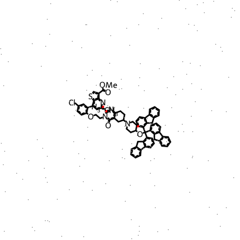 COC(=O)c1csc2c(-c3cc(Cl)ccc3OCCn3c(C)nc4c(c3=O)CC(N3CCC(OC(c5cccc6c5Cc5ccccc5-6)(c5cccc6c5Cc5ccccc5-6)c5cccc6c5Cc5ccccc5-6)CC3)CC4)cc(C)nc12